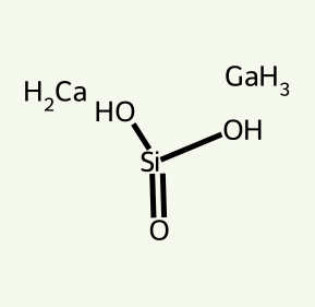 O=[Si](O)O.[CaH2].[GaH3]